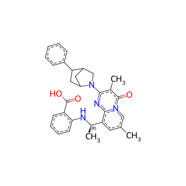 Cc1cc([C@@H](C)Nc2ccccc2C(=O)O)c2nc(N3CC4CC3CC4c3ccccc3)c(C)c(=O)n2c1